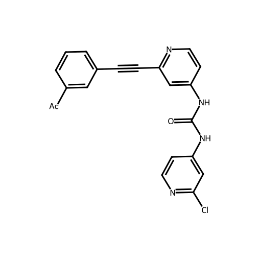 CC(=O)c1cccc(C#Cc2cc(NC(=O)Nc3ccnc(Cl)c3)ccn2)c1